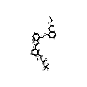 CCOC(=O)Cc1ccccc1OCc1cccc2oc(-c3cccc(CNC(=O)OC(C)(C)C)c3)cc12